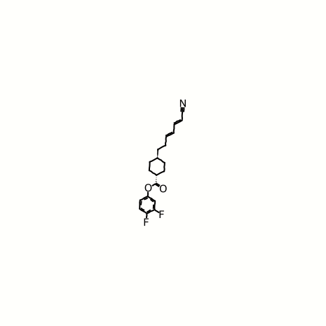 N#CC=CC=CCC[C@H]1CC[C@H](C(=O)Oc2ccc(F)c(F)c2)CC1